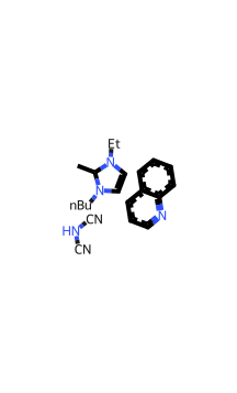 CCCCN1C=CN(CC)C1C.N#CNC#N.c1ccc2ncccc2c1